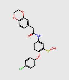 O=C(Cc1ccc2c(c1)OCCO2)Nc1ccc(Oc2ccc(Cl)cc2)c(SO)c1